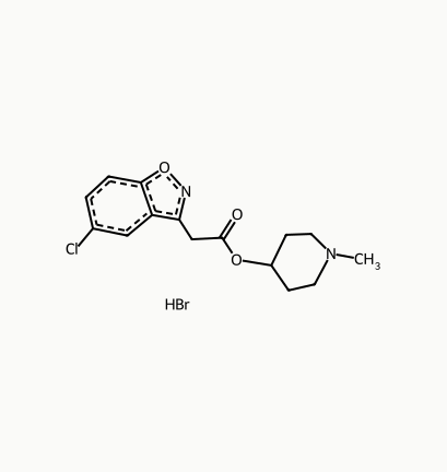 Br.CN1CCC(OC(=O)Cc2noc3ccc(Cl)cc23)CC1